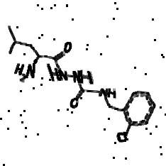 CC(C)C[C@H](N)C(=O)NNC(=O)NCc1ccccc1Cl